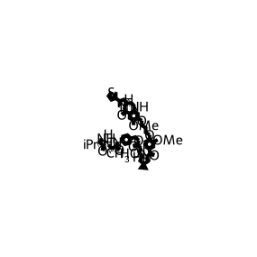 COc1cc2c(cc1OCCCOc1cc3c(cc1OC)C(=O)N1CC4(CC4)C[C@H]1C(O)N3C(=O)OCc1ccc(NC(=O)[C@H](C)NC(=O)[C@@H](N)C(C)C)cc1)NC[C@@H]1CC(c3ccsc3)=CN1C2=O